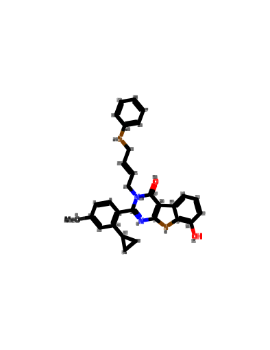 COc1ccc(-c2nc3sc4c(O)cccc4c3c(=O)n2C/C=C/CSc2ccccc2)c(C2CC2)c1